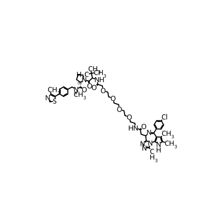 Cc1ncsc1-c1ccc(CN(C)C(=O)[C@@H]2CCCN2C(=O)C(NC(=O)COCCOCCOCCOCCNC(=O)CC2N=C(c3ccc(Cl)cc3)c3c([nH]c(C)c3C)-n3c(C)nnc32)C(C)(C)C)cc1